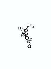 CCOc1ccc(S(=O)(=O)N[C@H]2CC[C@H](C(=O)NCc3ccccc3)CC2)cc1C